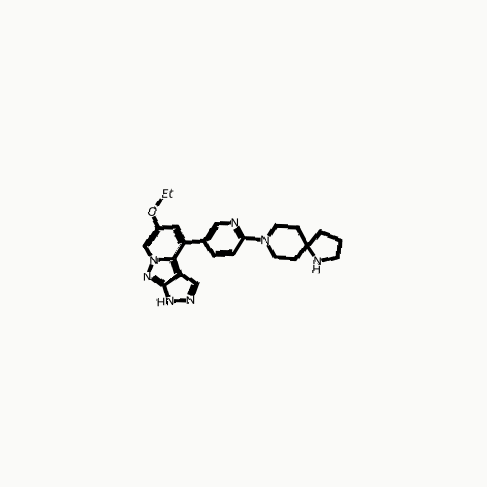 CCOc1cc(-c2ccc(N3CCC4(CCCN4)CC3)nc2)c2c3cn[nH]c3nn2c1